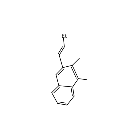 CCC=Cc1cc2ccccc2c(C)c1C